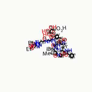 CCOP(=O)(Cc1nnc(CCC(=O)NCCC(=O)Nc2cc(COC(=O)N(C)[C@H](C(=O)N[C@H](C(=O)N(C)[C@@H]([C@@H](C)CC)[C@@H](CC(=O)N3CCC[C@H]3C[C@@H](C)C(=O)N[C@H](C)[C@@H](O)c3ccccc3)OC)C(C)C)C(C)C)ccc2O[C@@H]2O[C@H](C(=O)O)[C@@H](O)[C@H](O)[C@H]2O)nn1)OCC